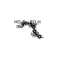 Cc1ccc(NC(=O)Nc2ccc(C3CC(C(=O)NC(CCSCC(NC(=O)CC(C)(C)C)C(=O)O)C(=O)O)N(C)C3)cc2)cc1